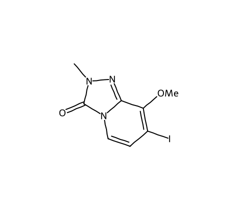 COc1c(I)ccn2c(=O)n(C)nc12